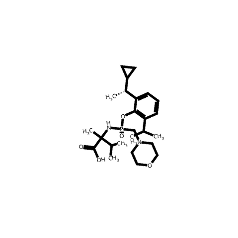 CC(C)c1cccc([C@H](C)C2CC2)c1OP(=O)(CN1CCOCC1)NC(C)(C(=O)O)C(C)C